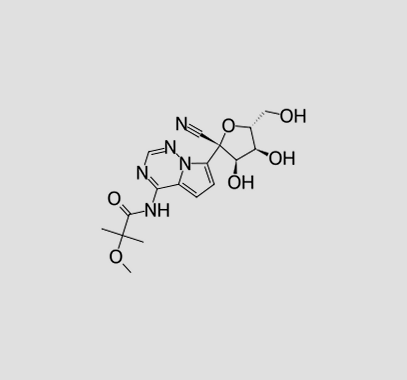 COC(C)(C)C(=O)Nc1ncnn2c([C@]3(C#N)O[C@H](CO)[C@@H](O)[C@H]3O)ccc12